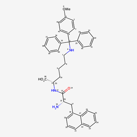 COc1ccc(C(NCCCC[C@H](NC(=O)[C@@H](N)Cc2cccc3ccccc23)C(=O)O)(c2ccccc2)c2ccccc2)cc1